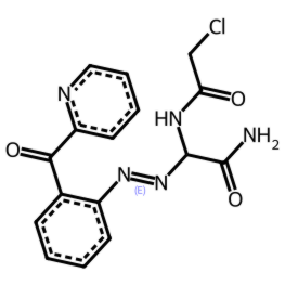 NC(=O)C(/N=N/c1ccccc1C(=O)c1ccccn1)NC(=O)CCl